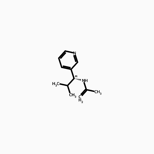 C=C(C)N[C@@H](c1cccnc1)C(C)C